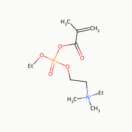 C=C(C)C(=O)OP(=O)(OCC)OCC[N+](C)(C)CC